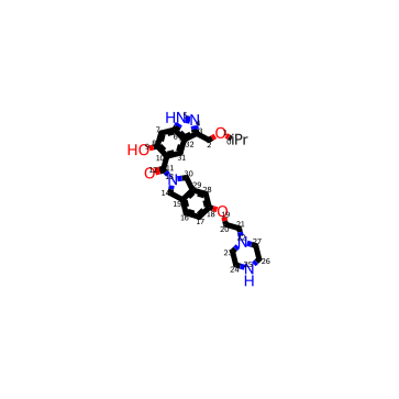 CC(C)OCc1n[nH]c2cc(O)c(C(=O)N3Cc4ccc(OCCN5CCNCC5)cc4C3)cc12